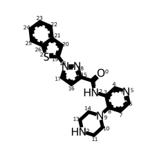 O=C(Nc1cnccc1N1CCNCC1)c1ccn(-c2cc3ccccc3s2)n1